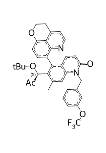 CC(=O)[C@@H](OC(C)(C)C)c1c(C)cc2c(ccc(=O)n2Cc2cccc(OC(F)(F)F)c2)c1-c1ccc2c3c(ccnc13)CCO2